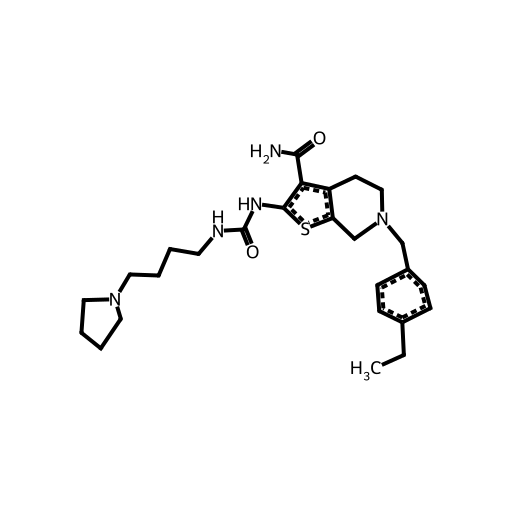 CCc1ccc(CN2CCc3c(sc(NC(=O)NCCCCN4CCCC4)c3C(N)=O)C2)cc1